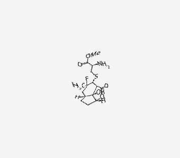 COC(=O)[C@@H](N)CS[C@H]1C2C(=O)O[C@@H]3CC[C@H](C[C@@]1(C)F)[C@]23O